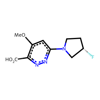 COc1cc(N2CC[C@H](F)C2)nnc1C(=O)O